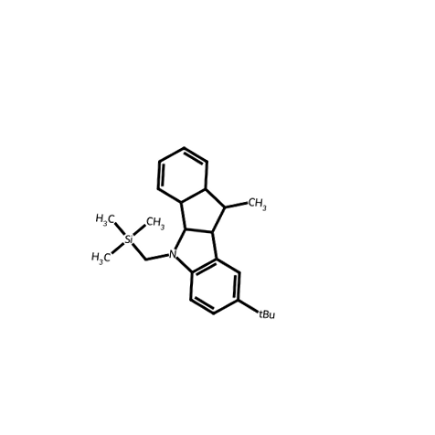 CC1C2C=CC=CC2C2C1c1cc(C(C)(C)C)ccc1N2C[Si](C)(C)C